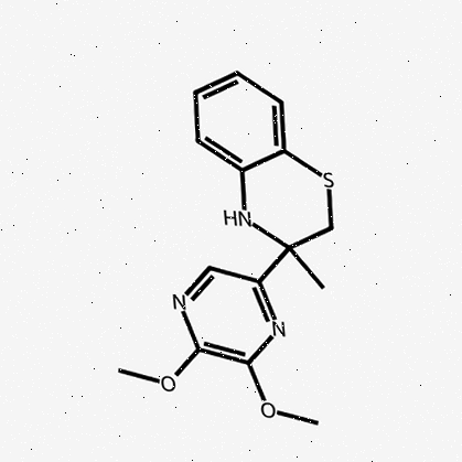 COc1ncc(C2(C)CSc3ccccc3N2)nc1OC